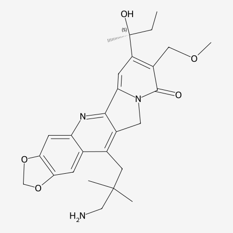 CC[C@](C)(O)c1cc2n(c(=O)c1COC)Cc1c-2nc2cc3c(cc2c1CC(C)(C)CN)OCO3